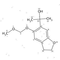 COCOc1cc2c(cc1C(C)(C)O)OCC2